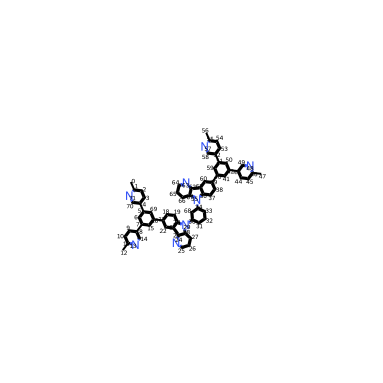 Cc1ccc(-c2cc(-c3ccc(C)nc3)cc(-c3ccc4c(c3)c3ncccc3n4-c3cccc(-n4c5ccc(-c6cc(-c7ccc(C)nc7)cc(-c7ccc(C)nc7)c6)cc5c5ncccc54)c3)c2)cn1